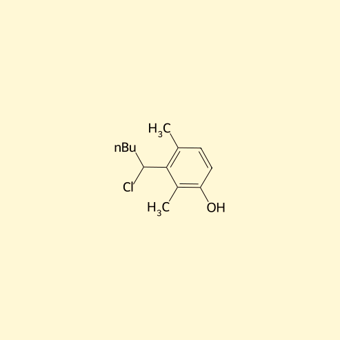 CCCCC(Cl)c1c(C)ccc(O)c1C